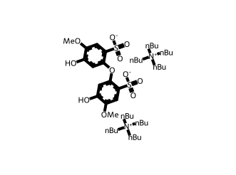 CCCC[N+](CCCC)(CCCC)CCCC.CCCC[N+](CCCC)(CCCC)CCCC.COc1cc(S(=O)(=O)[O-])c(Oc2cc(O)c(OC)cc2S(=O)(=O)[O-])cc1O